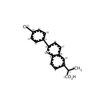 CC(C(=O)O)c1ccc2nc(-c3ccc(Cl)cc3)ccc2c1